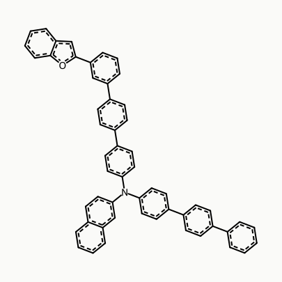 c1ccc(-c2ccc(-c3ccc(N(c4ccc(-c5ccc(-c6cccc(-c7cc8ccccc8o7)c6)cc5)cc4)c4ccc5ccccc5c4)cc3)cc2)cc1